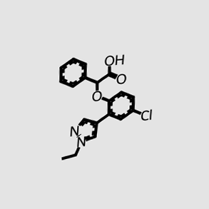 CCn1cc(-c2cc(Cl)ccc2OC(C(=O)O)c2ccccc2)cn1